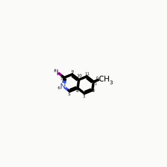 Cc1ccc2cnc(I)cc2c1